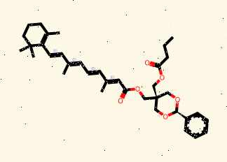 CCCC(=O)OC[C@]1(COC(=O)/C=C(C)/C=C/C=C(C)/C=C/C2=C(C)CCCC2(C)C)CO[C@H](c2ccccc2)OC1